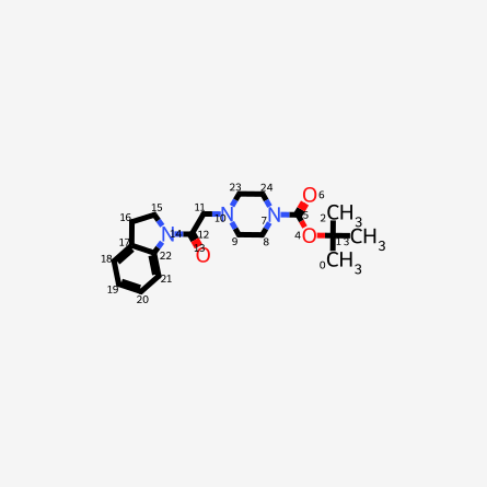 CC(C)(C)OC(=O)N1CCN(CC(=O)N2CCc3ccccc32)CC1